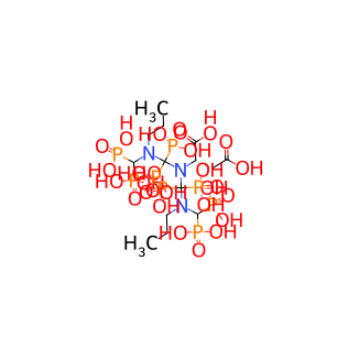 CCCN(C(P(=O)(O)O)P(=O)(O)O)C(N([C@@H](CC(=O)O)C(=O)O)C(N(CCC)C(P(=O)(O)O)P(=O)(O)O)(P(=O)(O)O)P(=O)(O)O)(P(=O)(O)O)P(=O)(O)O